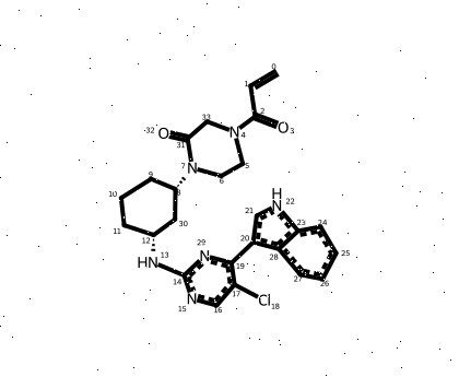 C=CC(=O)N1CCN([C@H]2CCC[C@@H](Nc3ncc(Cl)c(-c4c[nH]c5ccccc45)n3)C2)C(=O)C1